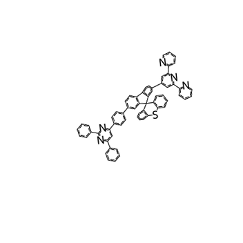 c1ccc(-c2cc(-c3ccc(-c4ccc5c(c4)C4(c6ccccc6Sc6ccccc64)c4cc(-c6cc(-c7ccccn7)nc(-c7ccccn7)c6)ccc4-5)cc3)nc(-c3ccccc3)n2)cc1